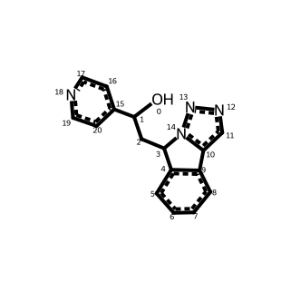 OC(CC1c2ccccc2-c2cnnn21)c1ccncc1